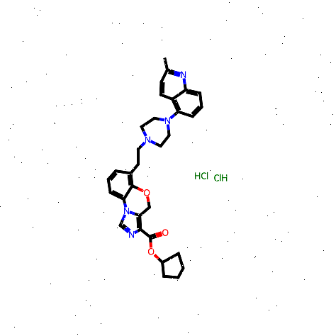 Cc1ccc2c(N3CCN(CCc4cccc5c4OCc4c(C(=O)OC6CCCC6)ncn4-5)CC3)cccc2n1.Cl.Cl